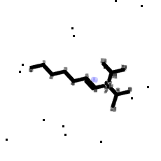 CCCCC/C=C/[Si](C(C)C)C(C)C